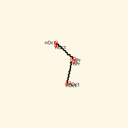 CCCCCCCCOC(CCCCCCCCCCCCCC(OCCC)OC(CCCCCCCCCCCCCC(OCCCCCCCC)OCCCCCCCC)OCCC)OCCCCCCCC